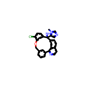 Cn1cncc1C1(N)c2ccc(Cl)c(c2)OCc2cccc(c2)-c2nccc3ccc1cc23